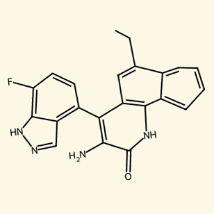 CCc1cc2c(-c3ccc(F)c4[nH]ncc34)c(N)c(=O)[nH]c2c2ccccc12